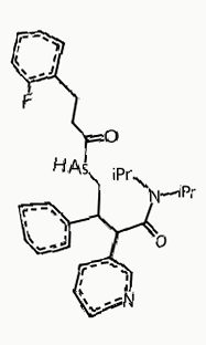 CC(C)N(C(=O)C(c1cccnc1)C(C[AsH]C(=O)CCc1ccccc1F)c1ccccc1)C(C)C